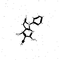 N#Cc1c(N)nc2c(c1N)CC(=O)N2c1ccccc1